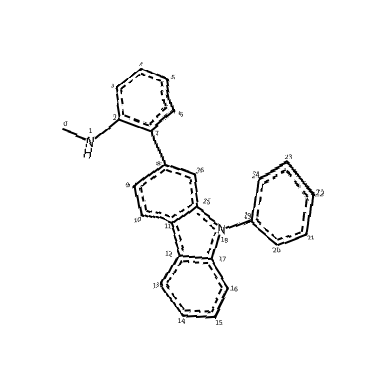 CNc1ccccc1-c1ccc2c3ccccc3n(-c3ccccc3)c2c1